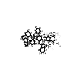 Cc1cc2c(cc1N1c3cc4c(oc5ccccc54)c(-c4cccc5c4Nc4ccccc4C54c5ccccc5-c5ccccc54)c3Bc3c1oc1ccccc31)C(C)(C)CCC2(C)C